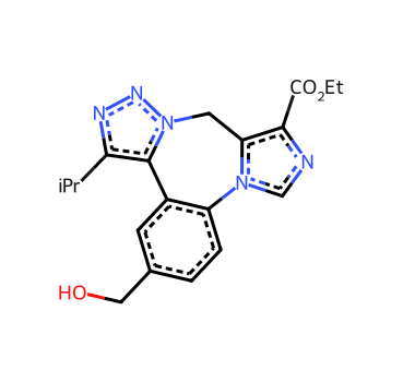 CCOC(=O)c1ncn2c1Cn1nnc(C(C)C)c1-c1cc(CO)ccc1-2